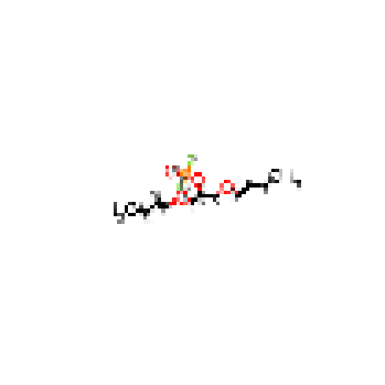 CCC=COCC(COC=CCC)OP(=O)(F)F